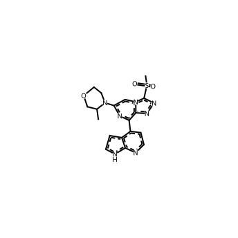 CC1COCCN1c1cn2c(S(C)(=O)=O)nnc2c(-c2ccnc3[nH]ccc23)n1